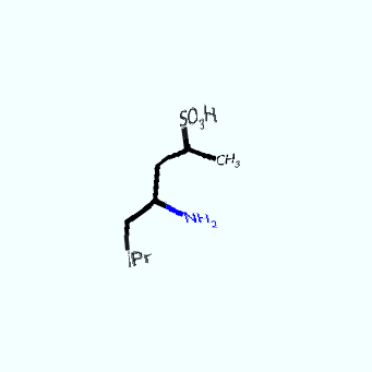 CC(C)CC(N)CC(C)S(=O)(=O)O